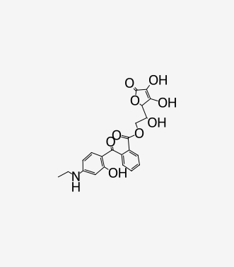 CCNc1ccc(C(=O)c2ccccc2C(=O)OCC(O)C2OC(=O)C(O)=C2O)c(O)c1